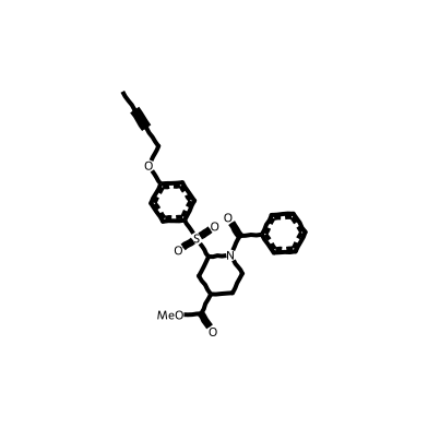 CC#CCOc1ccc(S(=O)(=O)C2CC(C(=O)OC)CCN2C(=O)c2ccccc2)cc1